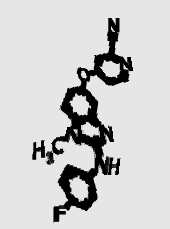 Cn1c(Nc2ccc(F)cc2)nc2cc(Oc3ccnc(C#N)c3)ccc21